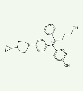 OCCC/C(=C(\c1ccc(O)cc1)c1ccc(N2CCC(C3CC3)CC2)cc1)c1ccccc1